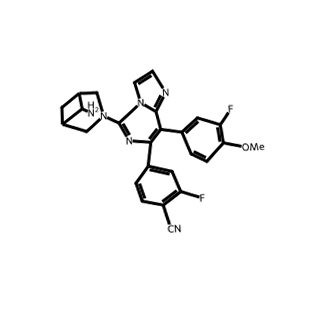 COc1ccc(-c2c(-c3ccc(C#N)c(F)c3)nc(N3CC4CC(C3)C4N)n3ccnc23)cc1F